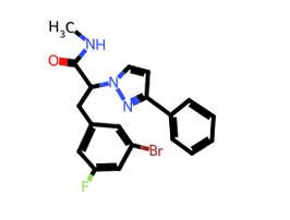 CNC(=O)C(Cc1cc(F)cc(Br)c1)n1ccc(-c2ccccc2)n1